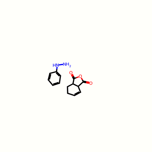 NNc1ccccc1.O=C1OC(=O)C2CCC=CC12